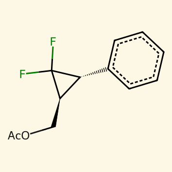 CC(=O)OC[C@@H]1[C@@H](c2ccccc2)C1(F)F